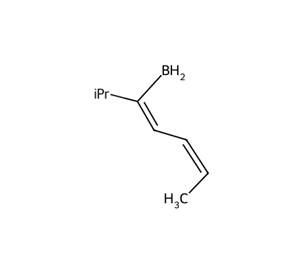 B/C(=C\C=C/C)C(C)C